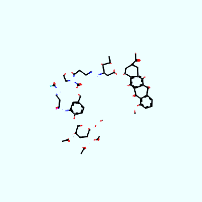 COC(=O)[C@H]1O[C@@H](Oc2ccc(COC(=O)N3CCOC3CCCNC3CC(OC4C[C@](O)(C(=O)CO)Cc5c(O)c6c(c(O)c54)C(=O)c4c(OC)cccc4C6=O)OC(C)C3O)cc2NC(=O)CCNC(=O)F)[C@H](OC(C)=O)[C@@H](OC(C)=O)[C@@H]1OC(C)=O